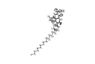 CCCCCCCCCCCCCCCCN1CCN(c2c(F)cc3c(=O)c(C(=O)O)cn(C4CC4)c3c2OC)CC1